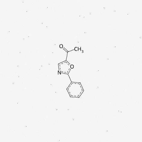 CC(=O)c1cnc(-c2ccccc2)o1